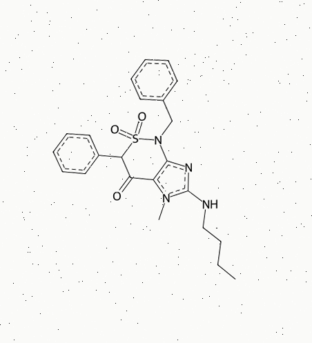 CCCCNc1nc2c(n1C)C(=O)C(c1ccccc1)S(=O)(=O)N2Cc1ccccc1